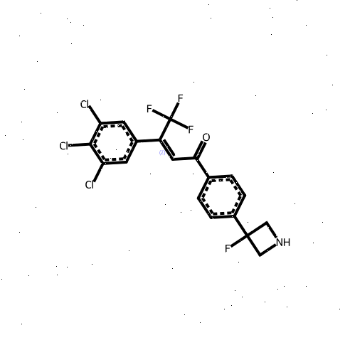 O=C(/C=C(/c1cc(Cl)c(Cl)c(Cl)c1)C(F)(F)F)c1ccc(C2(F)CNC2)cc1